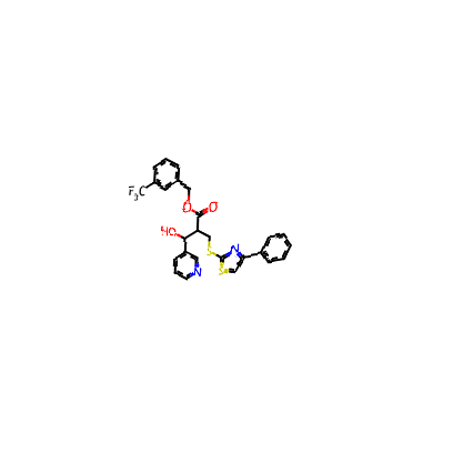 O=C(OCc1cccc(C(F)(F)F)c1)C(CSc1nc(-c2ccccc2)cs1)C(O)c1cccnc1